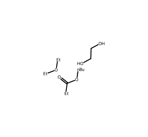 CCCCOC(=O)CC.CCOCC.OCCO